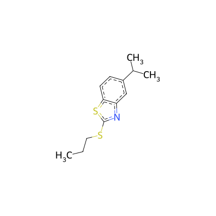 CCCSc1nc2cc(C(C)C)ccc2s1